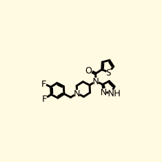 O=C(c1cccs1)N(c1cc[nH]n1)C1CCN(Cc2ccc(F)c(F)c2)CC1